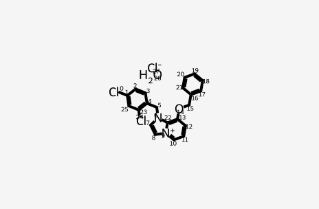 Clc1ccc(Cn2cc[n+]3cccc(OCc4ccccc4)c23)c(Cl)c1.O.[Cl-]